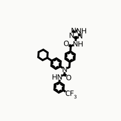 O=C(Nc1nn[nH]n1)c1ccc(CN(C(=O)Nc2cccc(C(F)(F)F)c2)c2ccc(C3CCCCC3)cc2)cc1